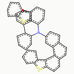 c1ccc(-c2ccccc2N(c2ccc3ccc4ccc5sc6ccccc6c5c4c3c2)c2cccc3c2sc2ccccc23)cc1